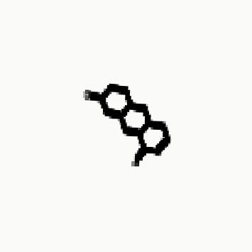 O=C1C=Cc2cc3c(cc2=C1)C(=O)C=CC=3